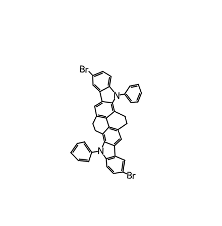 Brc1ccc2c(c1)c1cc3c4c(c1n2-c1ccccc1)CCc1cc2c5cc(Br)ccc5n(-c5ccccc5)c2c(c1-4)CC3